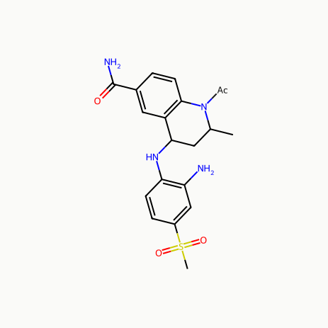 CC(=O)N1c2ccc(C(N)=O)cc2C(Nc2ccc(S(C)(=O)=O)cc2N)CC1C